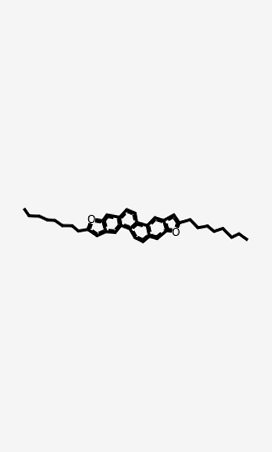 CCCCCCCCc1cc2cc3c(ccc4c5cc6cc(CCCCCCCC)oc6cc5ccc34)cc2o1